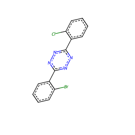 Clc1ccccc1-c1nnc(-c2ccccc2Br)nn1